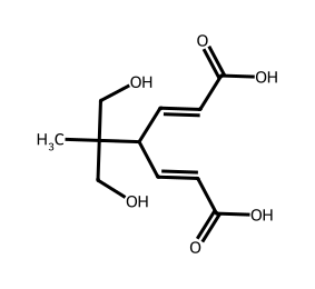 CC(CO)(CO)C(C=CC(=O)O)C=CC(=O)O